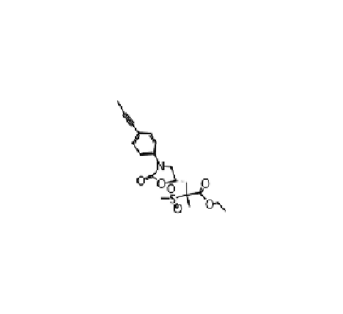 CC#Cc1ccc(N2C[C@H](CC(C)(C(=O)OCC)S(C)(=O)=O)OC2=O)cc1